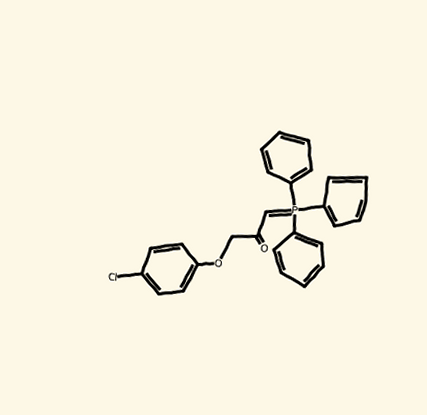 O=C(C=P(c1ccccc1)(c1ccccc1)c1ccccc1)COc1ccc(Cl)cc1